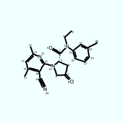 CCN(C(=O)[C@@H]1CC(=O)CN1c1nc(C)cc(C)c1C#N)c1cccc(C)c1